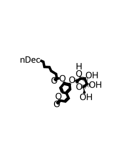 CCCCCCCCCCCCCCCC(=O)Oc1cc2oc(=O)ccc2cc1O[C@@H]1O[C@H](CO)[C@@H](O)[C@H](O)[C@H]1O